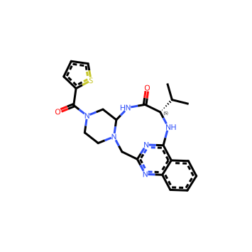 CC(C)[C@@H]1Nc2nc(nc3ccccc23)CN2CCN(C(=O)c3cccs3)CC2NC1=O